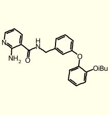 CC(C)COc1ccccc1Oc1cccc(CNC(=O)c2cccnc2N)c1